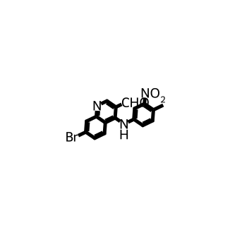 Cc1ccc(Nc2c(C=O)cnc3cc(Br)ccc23)cc1[N+](=O)[O-]